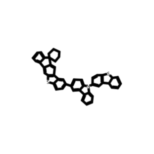 C1=CC2Sc3ccc(-n4c5ccccc5c5cc(-c6ccc7sc8cc9c(cc8c7c6)C6(CCCCC6)c6ccccc6-9)ccc54)cc3C2C=C1